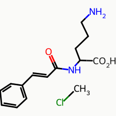 CCl.NCCCC(NC(=O)C=Cc1ccccc1)C(=O)O